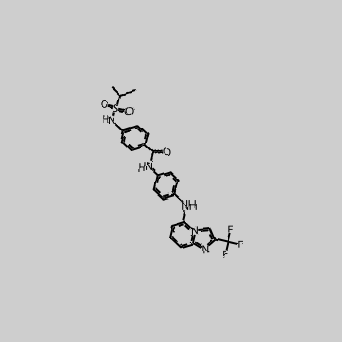 CC(C)S(=O)(=O)Nc1ccc(C(=O)Nc2ccc(Nc3cccc4nc(C(F)(F)F)cn34)cc2)cc1